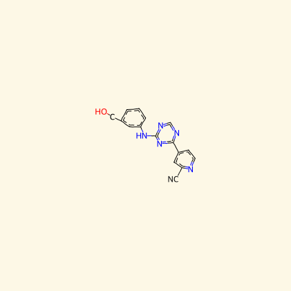 N#Cc1cc(-c2ncnc(Nc3cccc(CO)c3)n2)ccn1